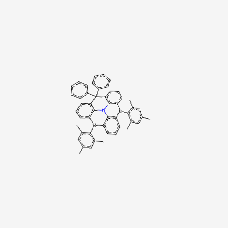 Cc1cc(C)c(B2c3cccc4c3N3c5c2cccc5C(c2ccccc2)(c2ccccc2)c2cccc(c23)B4c2c(C)cc(C)cc2C)c(C)c1